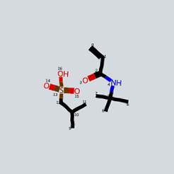 C=CC(=O)NC(C)(C)C.CC(C)CS(=O)(=O)O